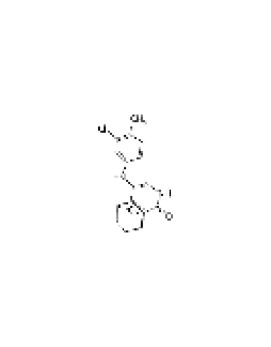 Cc1ccc(Nc2c[nH]c(=O)c3c2C2CCC3CC2)cc1Cl